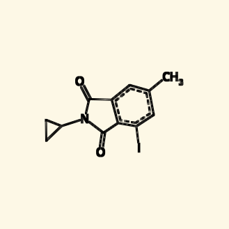 Cc1cc(I)c2c(c1)C(=O)N(C1CC1)C2=O